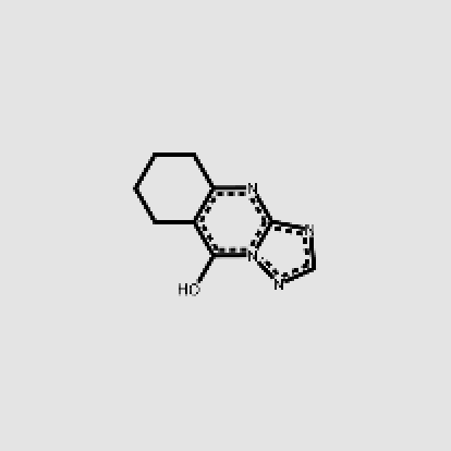 Oc1c2c(nc3ncnn13)CCCC2